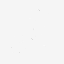 N#C/N=C(\NCC12CC3CC(CC(C3)C1)C2)Nc1cccc2ncsc12